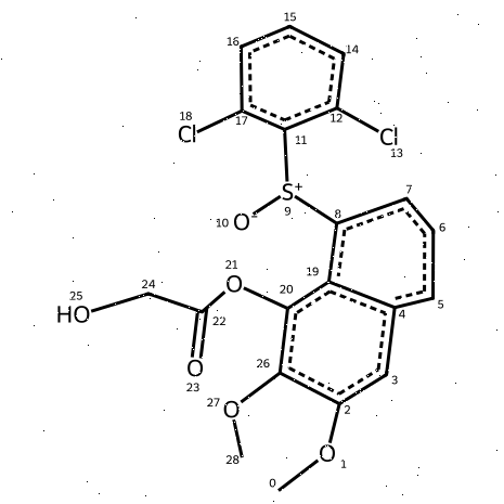 COc1cc2cccc([S+]([O-])c3c(Cl)cccc3Cl)c2c(OC(=O)CO)c1OC